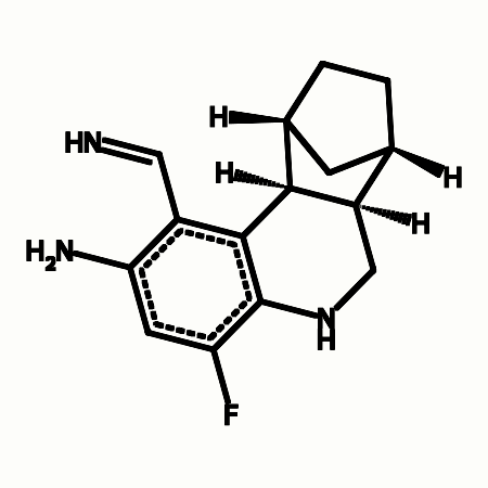 N=Cc1c(N)cc(F)c2c1[C@H]1[C@@H]3CC[C@@H](C3)[C@H]1CN2